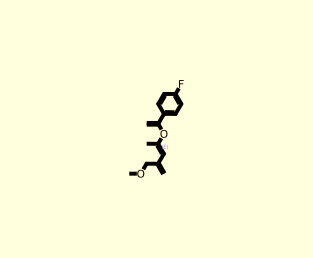 C=C(/C=C(\C)OC(=C)c1ccc(F)cc1)COC